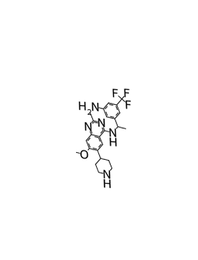 COc1cc2nc(C)nc(NC(C)c3cc(N)cc(C(F)(F)F)c3)c2cc1C1CCNCC1